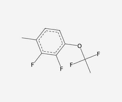 Cc1ccc(OC(C)(F)F)c(F)c1F